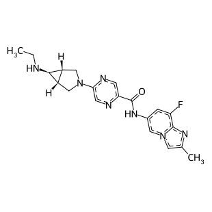 CCN[C@H]1[C@@H]2CN(c3cnc(C(=O)Nc4cc(F)c5nc(C)cn5c4)cn3)C[C@@H]21